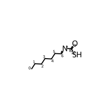 CCCCCCC=NC(=O)S